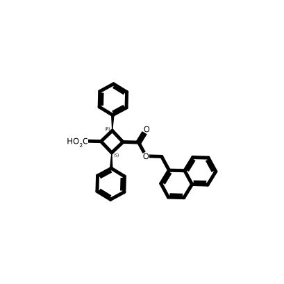 O=C(O)C1[C@@H](c2ccccc2)C(C(=O)OCc2cccc3ccccc23)[C@H]1c1ccccc1